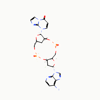 Nc1ccnc2c1ncn2[C@@H]1O[C@@H]2CO[P@@](=O)(S)O[C@@H]3C[C@@H](CO[P@@](=O)(S)O[C@H]2[C@@H]1F)O[C@H]3n1ccc(=O)n2ccnc12